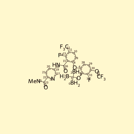 BC(B)(B)Oc1c(Oc2ccc(C(F)(F)F)c(F)c2C(=O)Nc2ccc(C(=O)NC)nc2)ccc(OC(F)(F)F)c1F